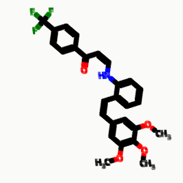 COc1cc(/C=C\c2ccccc2N/C=C\C(=O)c2ccc(C(F)(F)F)cc2)cc(OC)c1OC